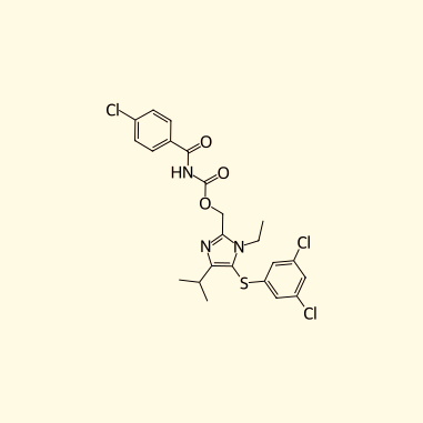 CCn1c(COC(=O)NC(=O)c2ccc(Cl)cc2)nc(C(C)C)c1Sc1cc(Cl)cc(Cl)c1